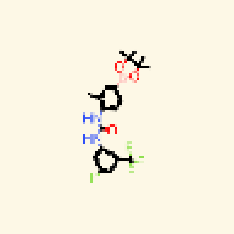 Cc1cc(B2OC(C)(C)C(C)(C)O2)ccc1NC(=O)Nc1cc(F)cc(C(F)(F)F)c1